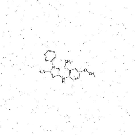 COc1ccc(Nc2nc(N)n(-c3ccccn3)n2)c(OC)c1